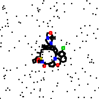 CO[C@@]1(CN2CCN3CCOC[C@@H]3C2)/C=C/C[C@H](C)[C@@H](CC2CCC2)S(=O)(=O)NC(=O)c2ccc3c(c2)N(C[C@@H]2CC[C@H]21)C[C@@]1(CCCc2cc(Cl)ccc21)CO3